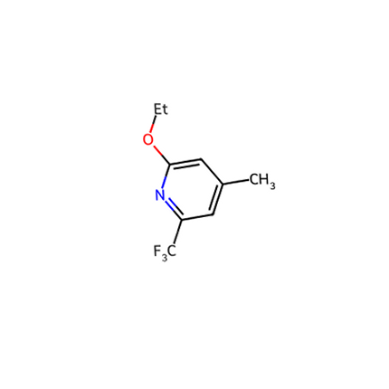 CCOc1cc(C)cc(C(F)(F)F)n1